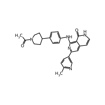 CC(=O)N1CCC(c2ccc(Nc3nc(-c4ccc(C)nc4)cc4cc[nH]c(=O)c34)cc2)CC1